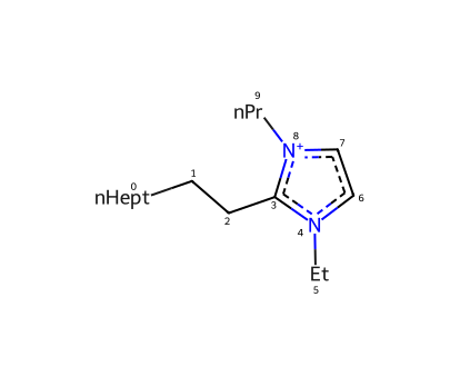 CCCCCCCCCc1n(CC)cc[n+]1CCC